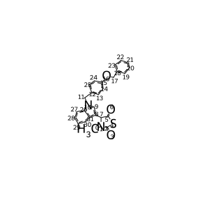 CN1C(=O)SC(=O)C1c1cn(Cc2ccc(OCc3ccccc3)cc2)c2ccccc12